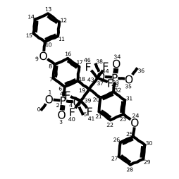 COP(=O)(OC)c1cc(Oc2ccccc2)ccc1C(c1ccc(Oc2ccccc2)cc1P(=O)(OC)OC)(C(F)(F)F)C(F)(F)F